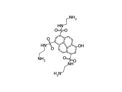 NCCNS(=O)(=O)c1cc(O)c2ccc3c(S(=O)(=O)NCCN)cc(S(=O)(=O)NCCN)c4ccc1c2c34